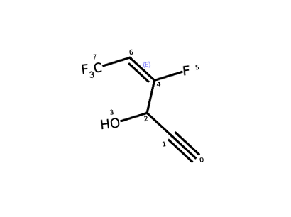 C#CC(O)/C(F)=C\C(F)(F)F